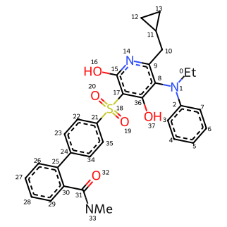 CCN(c1ccccc1)c1c(CC2CC2)nc(O)c(S(=O)(=O)c2ccc(-c3ccccc3C(=O)NC)cc2)c1O